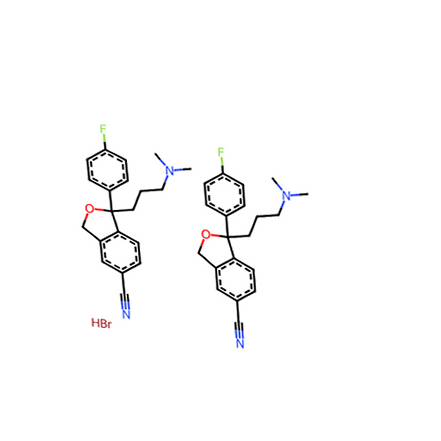 Br.CN(C)CCCC1(c2ccc(F)cc2)OCc2cc(C#N)ccc21.CN(C)CCCC1(c2ccc(F)cc2)OCc2cc(C#N)ccc21